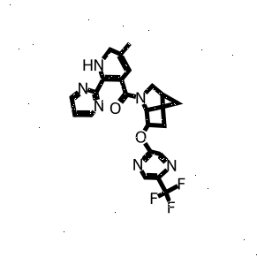 CC1=CC(C(=O)N2CC3CC34CC(Oc3cnc(C(F)(F)F)cn3)C24)=C(c2ncccn2)NC1